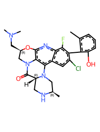 Cc1cccc(O)c1-c1c(Cl)cc2c3c4c(nc2c1F)O[C@H](CN(C)C)CN4C(=O)[C@H]1CN[C@H](C)CN31